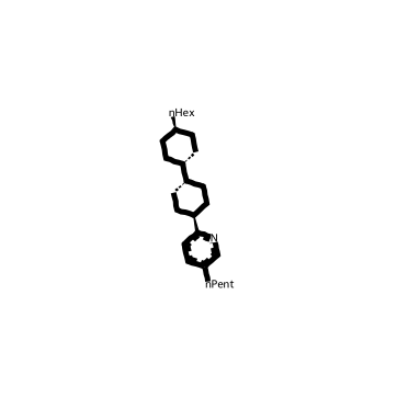 CCCCCC[C@H]1CC[C@H]([C@H]2CC[C@H](c3ccc(CCCCC)cn3)CC2)CC1